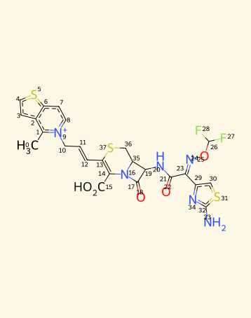 Cc1c2ccsc2cc[n+]1C/C=C/C1=C(C(=O)O)N2C(=O)C(NC(=O)C(=NOC(F)F)c3csc(N)n3)C2CS1